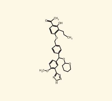 CCCc1c(OCc2ccc(C(OC3CCCCO3)c3ccc(OC)c(-c4nn[nH]n4)c3)cc2)ccc(C(C)=O)c1O